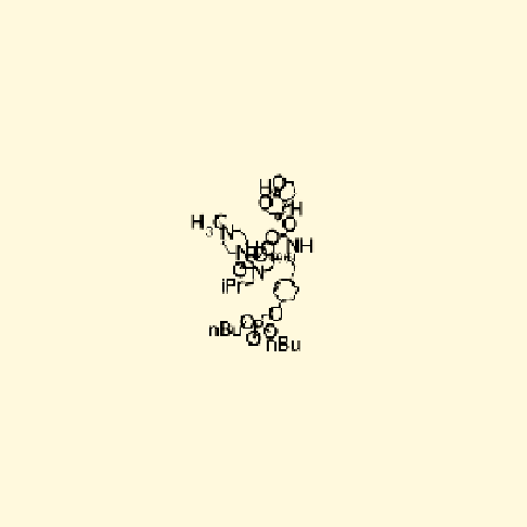 CCCCOP(=O)(COc1ccc(C[C@H](NC(=O)O[C@H]2CO[C@H]3OCC[C@H]32)[C@H](O)CN(CC(C)C)S(=O)(=O)N2CCN(C)CC2)cc1)OCCCC